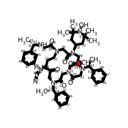 C#CCN(CC(=O)N(CC(N)=O)[C@@H](C)c1ccccc1)C(=O)CN(C(=O)CN(C(=O)CN(CCCN=[N+]=[N-])C(=O)CN[C@@H](C)c1ccccc1)C1CC(C)(C)N(O)C(C)(C)C1)[C@@H](C)c1ccccc1